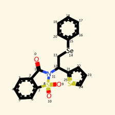 O=C1c2ccccc2S(=O)(=O)N1C(C[Se]c1ccccc1)c1cccs1